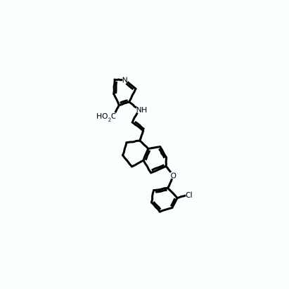 O=C(O)c1ccncc1N/C=C/C1CCCc2cc(Oc3ccccc3Cl)ccc21